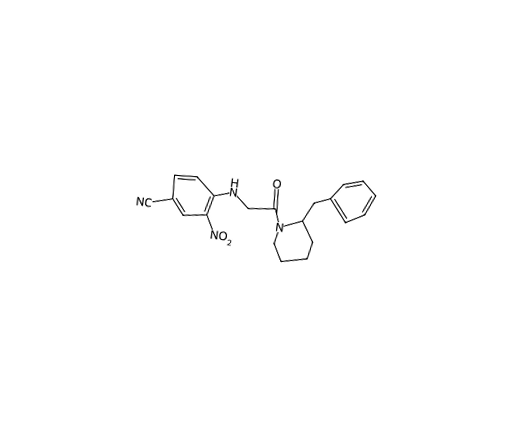 N#Cc1ccc(NCC(=O)N2CCCCC2Cc2ccccc2)c([N+](=O)[O-])c1